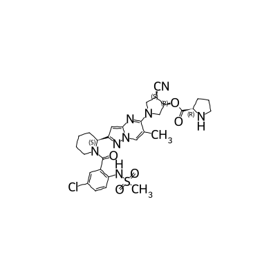 Cc1cn2nc([C@@H]3CCCCN3C(=O)c3cc(Cl)ccc3NS(C)(=O)=O)cc2nc1N1C[C@@H](C#N)[C@@H](OC(=O)[C@H]2CCCN2)C1